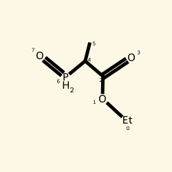 CCOC(=O)C(C)[PH2]=O